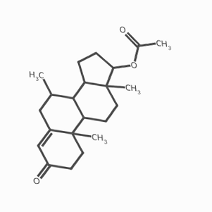 CC(=O)OC1CCC2C3C(C)CC4=CC(=O)CCC4(C)C3CCC12C